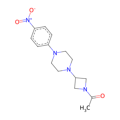 CC(=O)N1CC(N2CCN(c3ccc([N+](=O)[O-])cc3)CC2)C1